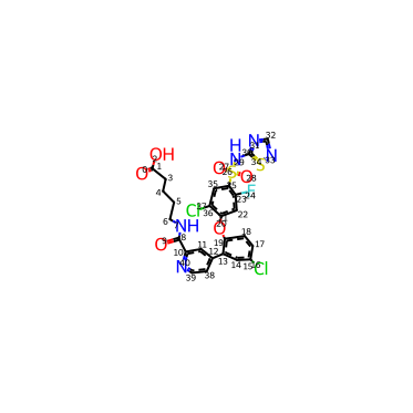 O=C(O)CCCCNC(=O)c1cc(-c2cc(Cl)ccc2Oc2cc(F)c(S(=O)(=O)Nc3ncns3)cc2Cl)ccn1